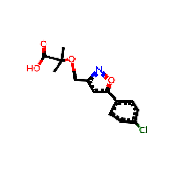 CC(C)(OCc1cc(-c2ccc(Cl)cc2)on1)C(=O)O